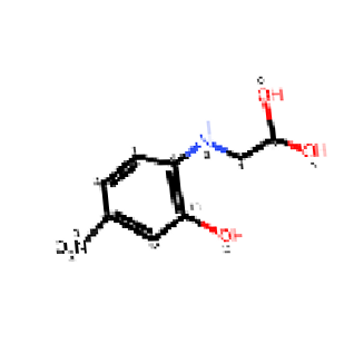 O=[N+]([O-])c1ccc(NCC(O)O)c(O)c1